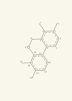 Cc1ccc2c(c1C)COc1c-2ccc(C)c1C